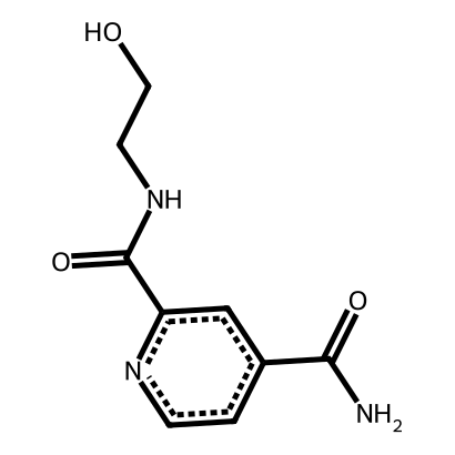 NC(=O)c1ccnc(C(=O)NCCO)c1